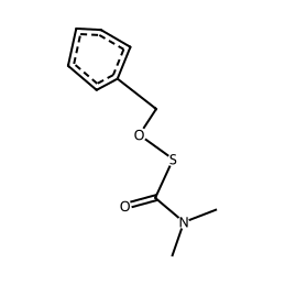 CN(C)C(=O)SOCc1ccccc1